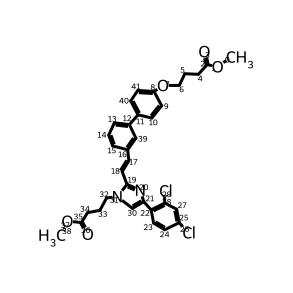 COC(=O)CCCOc1ccc(-c2cccc(/C=C/c3nc(-c4ccc(Cl)cc4Cl)cn3CCCC(=O)OC)c2)cc1